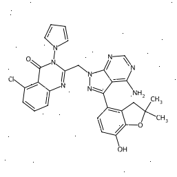 CC1(C)Cc2c(-c3nn(Cc4nc5cccc(Cl)c5c(=O)n4-n4cccc4)c4ncnc(N)c34)ccc(O)c2O1